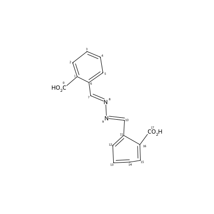 O=C(O)c1ccccc1C=NN=Cc1ccccc1C(=O)O